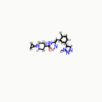 C=N/C(=C\c1cc(-c2cnnn2C)ccc1C)NC(=O)C1CCN(C2CC2)CC1